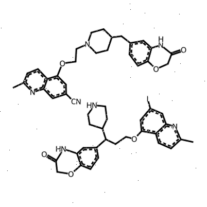 Cc1ccc2c(OCCC(c3ccc4c(c3)NC(=O)CO4)C3CCNCC3)cc(I)cc2n1.Cc1ccc2c(OCCN3CCC(Cc4ccc5c(c4)NC(=O)CO5)CC3)cc(C#N)cc2n1